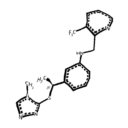 C[C@H](Sc1nncn1C)c1cccc(NCc2ncccc2C(F)(F)F)c1